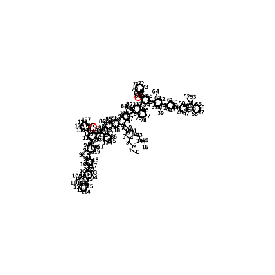 CCCCCCCCC1(CCCCCCCC)c2cc3c(cc2-c2cc4c(cc21)-c1c(cc(-c2cc(-c5cc(C)c(-c6ccc(-c7ccc8c(c7)C(C)(C)c7ccccc7-8)cc6)cc5C)cc5c2oc2ccccc25)c2ccccc12)C4(C)C)C(C)(C)c1cc(-c2cc(-c4cc(C)c(-c5ccc(-c6ccc7c(c6)C(C)(C)c6ccccc6-7)cc5)cc4C)cc4c2oc2ccccc24)c2ccccc2c1-3